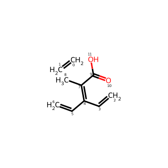 C=C.C=CC(C=C)=C(C)C(=O)O